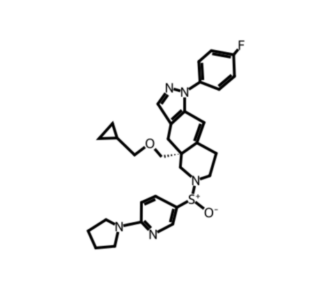 [O-][S+](c1ccc(N2CCCC2)nc1)N1CCC2=Cc3c(cnn3-c3ccc(F)cc3)C[C@]2(COCC2CC2)C1